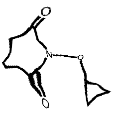 O=C1CCC(=O)N1OC1CC1